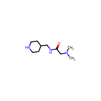 CN(C)CC(=O)NCC1CCNCC1